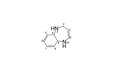 [C]1=CCNC2C=CC=CC2N1